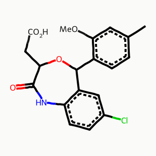 COc1cc(C)ccc1C1OC(CC(=O)O)C(=O)Nc2ccc(Cl)cc21